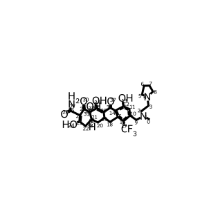 CN(CCN1CCCC1)Cc1cc(O)c2c(c1C(F)(F)F)CC1C[C@H]3CC(O)=C(C(N)=O)C(=O)[C@@]3(O)C(O)=C1C2=O